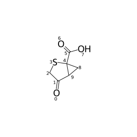 O=C1CSC2(C(=O)O)CC12